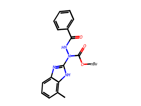 CCCCOC(=O)N(NC(=O)c1ccccc1)c1nc2cccc(C)c2[nH]1